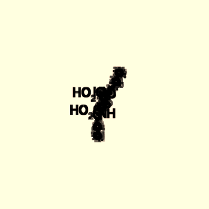 O=C(C=Cc1ccc(-c2ccccc2)cc1)Nc1cc2sc3cc(NC(=O)C=Cc4ccc(-c5ccccc5)cc4)c(C(=O)O)cc3c2cc1C(=O)O